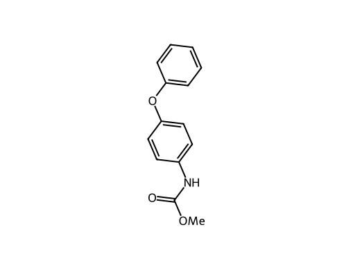 [CH2]OC(=O)Nc1ccc(Oc2ccccc2)cc1